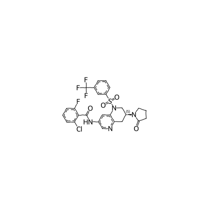 O=C(Nc1cnc2c(c1)N(S(=O)(=O)c1cccc(C(F)(F)F)c1)C[C@@H](N1CCCC1=O)C2)c1c(F)cccc1Cl